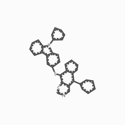 c1ccc(-c2c3ccccc3c(Sc3ccc4c(c3)c3ccccc3p4-c3ccccc3)c3ccncc23)cc1